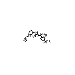 CC(/C=C(\N)NC1CCCN(CCN2CCCC2)C1)=C(/N)c1ccc(C(F)(F)P)cc1O